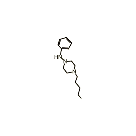 CCCCCN1CCN(Nc2ccccc2)CC1